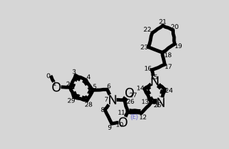 COc1ccc(CN2CCO/C(=C/c3cn(CCC4CCCCC4)cn3)C2=O)cc1